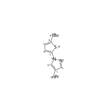 CCCc1cnn(-c2ccc(C(C)(C)C)s2)c1